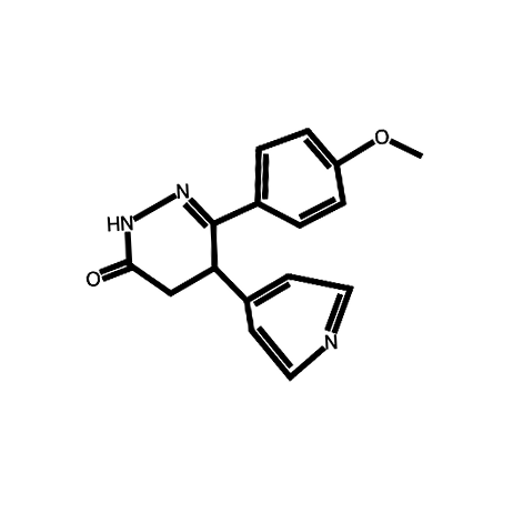 COc1ccc(C2=NNC(=O)CC2c2ccncc2)cc1